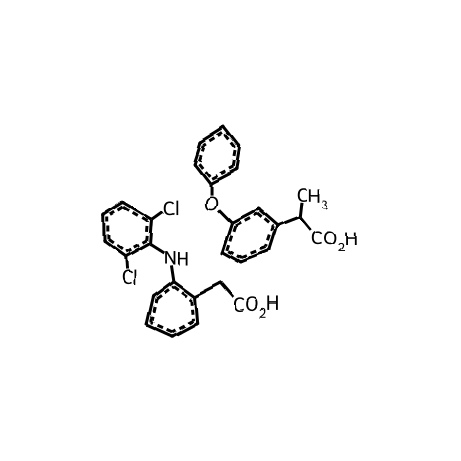 CC(C(=O)O)c1cccc(Oc2ccccc2)c1.O=C(O)Cc1ccccc1Nc1c(Cl)cccc1Cl